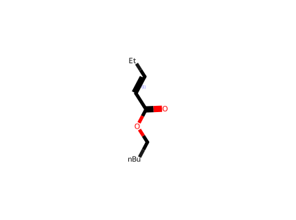 [CH2]C/C=C/C(=O)OCCCCC